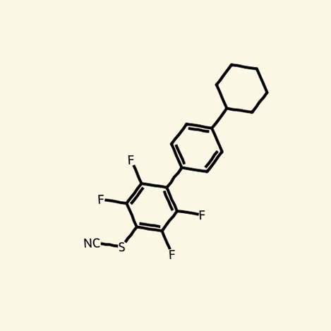 N#CSc1c(F)c(F)c(-c2ccc(C3CCCCC3)cc2)c(F)c1F